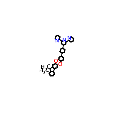 CC1(C)c2ccccc2-c2cc3c(cc21)Oc1cc(-c2ccc(-c4cc(-c5ccccn5)nc(-c5ccccn5)c4)cc2)ccc1O3